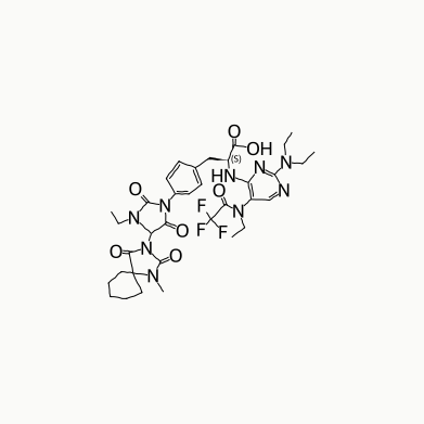 CCN(CC)c1ncc(N(CC)C(=O)C(F)(F)F)c(N[C@@H](Cc2ccc(N3C(=O)C(N4C(=O)N(C)C5(CCCCC5)C4=O)N(CC)C3=O)cc2)C(=O)O)n1